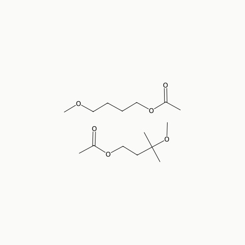 COC(C)(C)CCOC(C)=O.COCCCCOC(C)=O